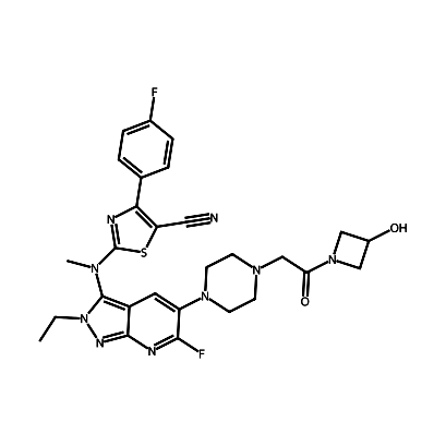 CCn1nc2nc(F)c(N3CCN(CC(=O)N4CC(O)C4)CC3)cc2c1N(C)c1nc(-c2ccc(F)cc2)c(C#N)s1